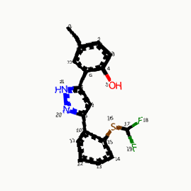 Cc1ccc(O)c(-c2cc(-c3ccccc3SC(F)F)n[nH]2)c1